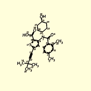 Cc1ccc(C(=O)N(c2cc(C#CC(C)(C)C)sc2C(=O)O)[C@H]2CC[C@H](O)CC2)c(C)c1